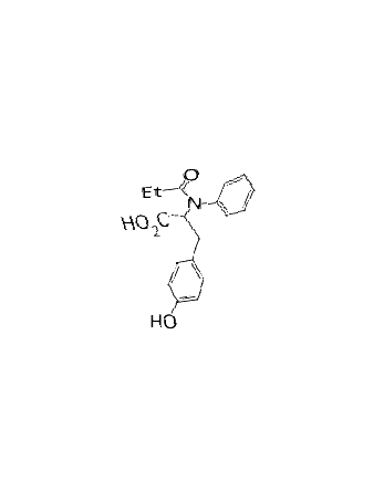 CCC(=O)N(c1ccccc1)C(Cc1ccc(O)cc1)C(=O)O